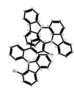 N#Cc1cc(-c2ccccc2-n2c3ccccc3c3cccc(C#N)c32)ccc1-n1c2ccccc2c2cccc(-n3c4ccccc4c4ccccc43)c21